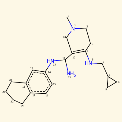 CN1CCC(NCC2CC2)=C(C(N)Nc2ccc3c(c2)CCCC3)C1